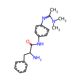 CC(=Nc1ccc(NC(=O)C(N)Cc2ccccc2)cc1)N(C)C